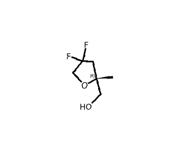 C[C@]1(CO)CC(F)(F)CO1